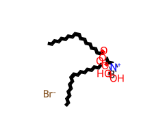 CCCCCCCC/C=C\CCCCCCCC(=O)OCC(C[N+](C)(C)CB(O)O)OC(=O)CCCCCCC/C=C\CCCCCCCC.[Br-]